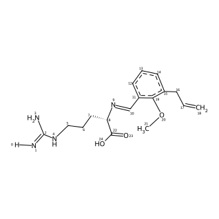 [H]/N=C(\N)NCCC[C@H](N=Cc1cccc(CC=C)c1OC)C(=O)O